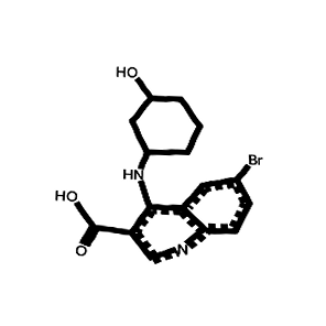 O=C(O)c1cnc2ccc(Br)cc2c1NC1CCCC(O)C1